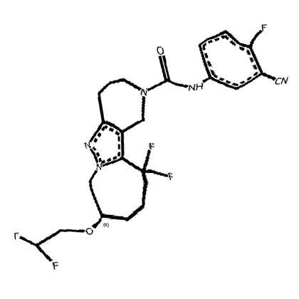 N#Cc1cc(NC(=O)N2CCc3nn4c(c3C2)C(F)(F)CC[C@@H](OCC(F)F)C4)ccc1F